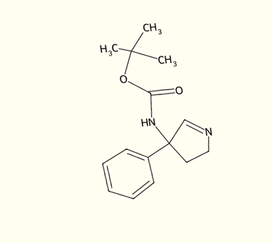 CC(C)(C)OC(=O)NC1(c2ccccc2)C=NCC1